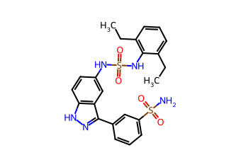 CCc1cccc(CC)c1NS(=O)(=O)Nc1ccc2[nH]nc(-c3cccc(S(N)(=O)=O)c3)c2c1